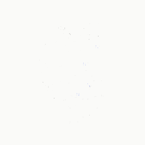 CC(C)(C)c1ccc2c(c1)-c1c(ncc3c1c1cc(-c4c(-c5ccccc5)cccc4-c4ccccc4)cc4c5c6c7cc(C(C)(C)C)ccc7n(-c7c(-c8ccccc8)ccc8ccccc78)c6ncc5n3c14)C21CCCC1